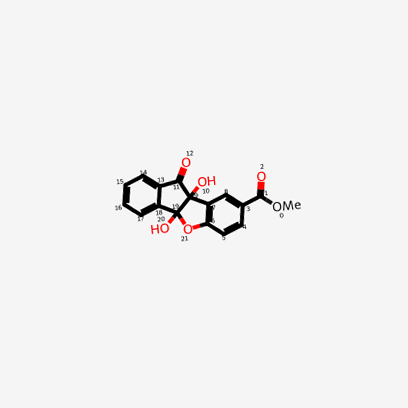 COC(=O)c1ccc2c(c1)C1(O)C(=O)c3ccccc3C1(O)O2